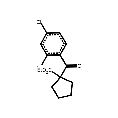 CCOC(=O)C1(C(=O)c2ccc(Cl)cc2Cl)CCCC1